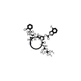 CC(C)(C)OC(=O)N[C@H]1CCCCC/C=C\[C@@H]2C[C@@]2(C(=O)NS(=O)(=O)c2ccccc2Cl)NC(=O)[C@@H]2C[C@@H](OC(=O)N3Cc4cccc(F)c4C3)CN2C1=O